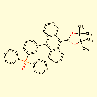 CC1(C)OB(c2c3ccccc3c(-c3cccc(P(=O)(c4ccccc4)c4ccccc4)c3)c3ccccc23)OC1(C)C